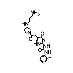 Cc1ccccc1NC(=O)Nc1nc(=O)c(CC(=O)N2CC[C@H](NCCCN)C2)c[nH]1